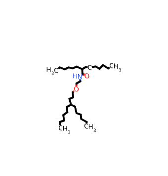 CCCCCCCC(CCCCCC)C(=O)NCCOCCCC(CCCCCC)CCCCCC